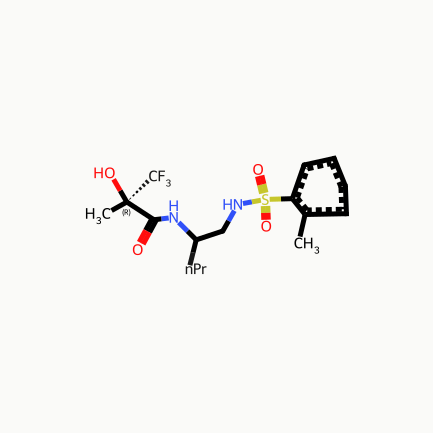 CCCC(CNS(=O)(=O)c1ccccc1C)NC(=O)[C@@](C)(O)C(F)(F)F